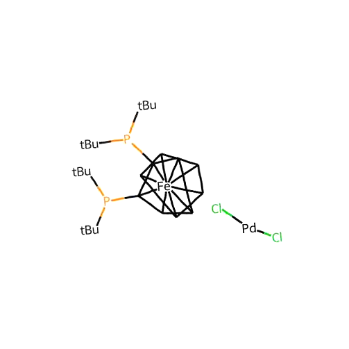 CC(C)(C)P(C(C)(C)C)[C]12[CH]3[CH]4[CH]5[C]1(P(C(C)(C)C)C(C)(C)C)[Fe]43521678[CH]2[CH]1[CH]6[CH]7[CH]28.[Cl][Pd][Cl]